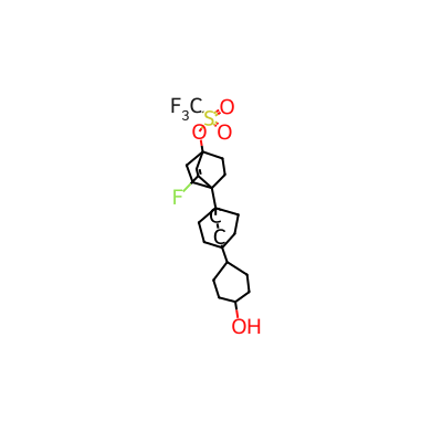 O=S(=O)(OC12C=C(F)C(C34CCC(C5CCC(O)CC5)(CC3)CC4)(CC1)CC2)C(F)(F)F